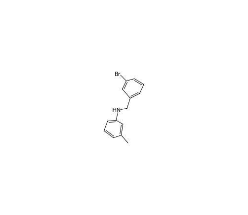 Cc1cccc(NCc2cccc(Br)c2)c1